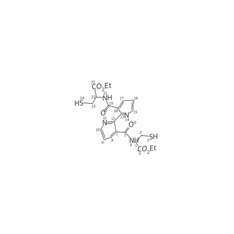 CCOC(=O)C(CS)NC(=O)c1cccnc1-c1ncccc1C(=O)NC(CS)C(=O)OCC